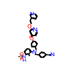 Cc1c(NS(C)(=O)=O)cccc1N(Cc1ccc(C#N)cc1)Cc1ccc(Oc2ccnc(OCCc3cccnc3)c2)cc1